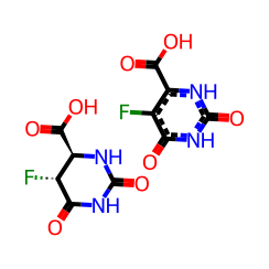 O=C(O)c1[nH]c(=O)[nH]c(=O)c1F.O=C1NC(=O)[C@H](F)[C@@H](C(=O)O)N1